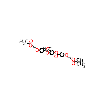 C=CC(=O)OCCCOc1ccc(C(=O)Oc2ccc(OC(=O)c3ccc(OCCCOC(=O)C(=C)C)cc3)cc2C)cc1